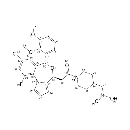 COc1cccc([C@@H]2O[C@@H](CC(=O)N3CCC(CC(=O)O)CC3)c3cccn3-c3c(F)cc(Cl)cc32)c1OC